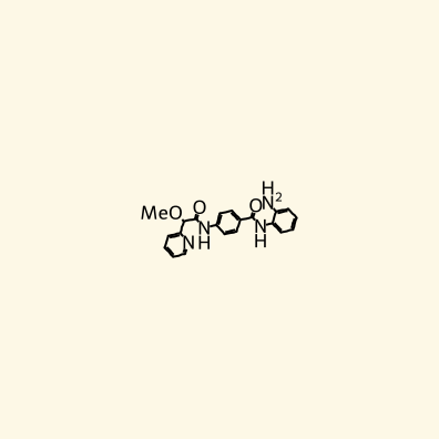 COC(C(=O)Nc1ccc(C(=O)Nc2ccccc2N)cc1)c1ccccn1